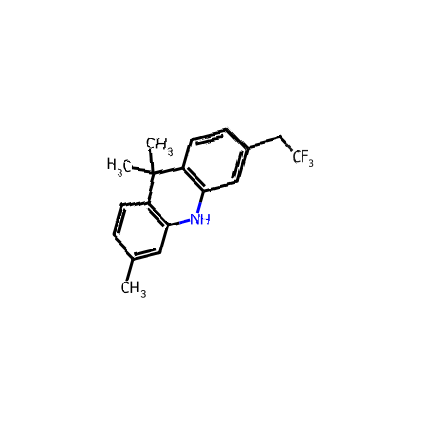 Cc1ccc2c(c1)Nc1cc(CC(F)(F)F)ccc1C2(C)C